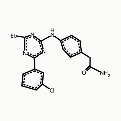 CCc1nc(Nc2ccc(CC(N)=O)cc2)nc(-c2cccc(Cl)c2)n1